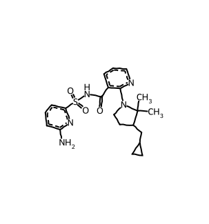 CC1(C)C(CC2CC2)CCN1c1ncccc1C(=O)NS(=O)(=O)c1cccc(N)n1